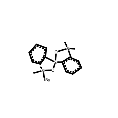 CC(C)(C)[Si](C)(C)O[Si](O[Si](C)(C)C)(c1ccccc1)c1ccccc1